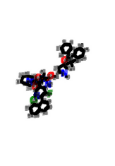 CN1C[C@H](O[Si](c2ccccc2)(c2ccccc2)C(C)(C)C)C[C@H]1COc1nc(N2CC3CCC(C2)N3C(=O)OC(C)(C)C)c2cnc(-c3cccc4cccc(Cl)c34)c(F)c2n1